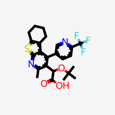 Cc1nc2sc3c(c2c(-c2ccc(C(F)(F)F)nc2)c1C(OC(C)(C)C)C(=O)O)CCCC3